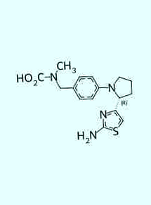 CN(Cc1ccc(N2CCC[C@@H]2c2csc(N)n2)cc1)C(=O)O